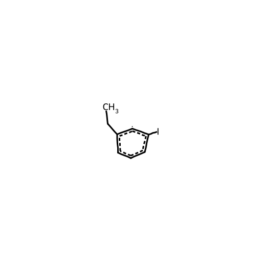 CCc1[c]c(I)ccc1